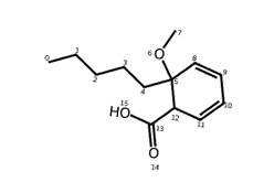 CCCCCC1(OC)C=CC=CC1C(=O)O